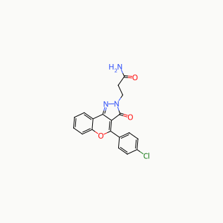 NC(=O)CCn1nc2c3ccccc3oc(-c3ccc(Cl)cc3)c-2c1=O